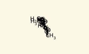 CCCOC(=O)c1ccc(NC=C2C(=O)Oc3c(cccc3N(C)C)C2=O)cc1